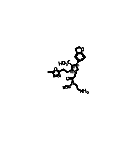 CCCCN(CCN)C(=O)CN1C[C@H](c2ccc3c(c2)CCO3)[C@@H](C(=O)O)[C@@H]1CCc1ncc(C)o1